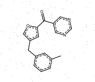 Cc1cccc(Cc2coc(C(=O)c3cncnc3)c2)c1